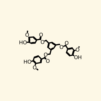 COc1cc(C(=O)OCc2cc(COC(=O)c3ccc(O)c(OC)c3)cc(COC(=O)c3ccc(O)c(OC)c3)c2)ccc1O